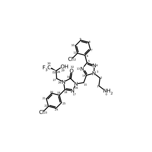 NCCn1nc(-c2ccccc2Cl)nc1Cn1nc(-c2ccc(Cl)cc2)n(C[C@H](O)C(F)(F)F)c1=O